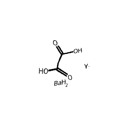 O=C(O)C(=O)O.[BaH2].[Y]